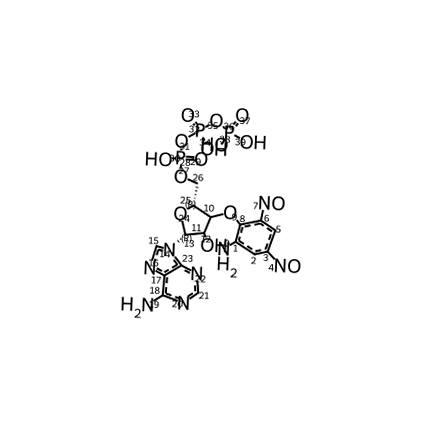 Nc1cc(N=O)cc(N=O)c1OC1C(O)[C@H](n2cnc3c(N)ncnc32)O[C@@H]1COP(=O)(O)OP(=O)(O)OP(=O)(O)O